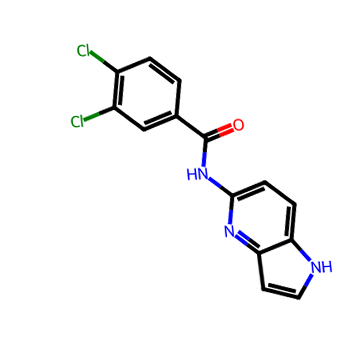 O=C(Nc1ccc2[nH]ccc2n1)c1ccc(Cl)c(Cl)c1